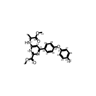 COC(=O)c1nc(NC(C)C(=O)OC)cc(-c2ccc(Oc3ccc(F)cc3)cc2)n1